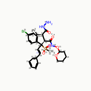 CC(C)C[C@@H](C(=O)NN)[C@@H](C(=O)NOC1CCCCO1)C(/C=C/c1ccccc1)(c1ccc(Br)cc1)S(C)(=O)=O